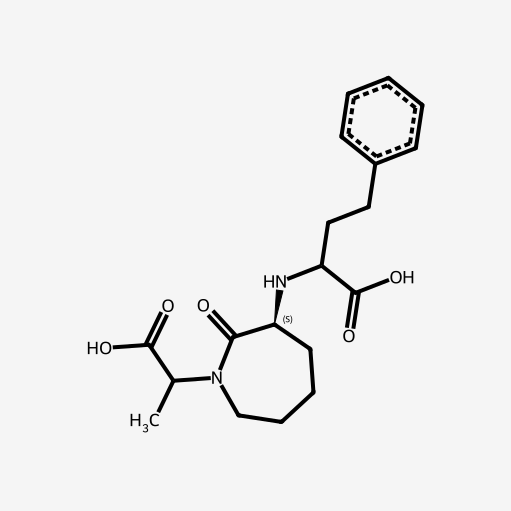 CC(C(=O)O)N1CCCC[C@H](NC(CCc2ccccc2)C(=O)O)C1=O